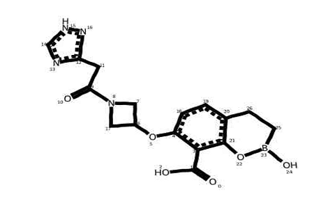 O=C(O)c1c(OC2CN(C(=O)Cc3nc[nH]n3)C2)ccc2c1OB(O)CC2